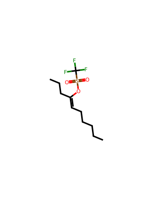 CCCCCC=C(CCC)OS(=O)(=O)C(F)(F)F